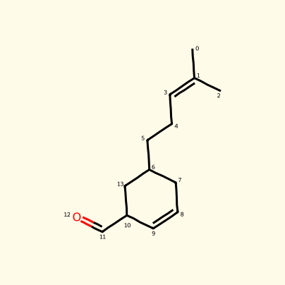 CC(C)=CCCC1CC=CC(C=O)C1